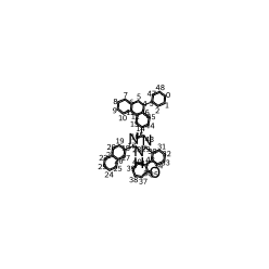 c1ccc(-c2cc3ccccc3c3cc(C4=NC(c5ccc6ccccc6c5)NC(c5cccc6oc7ccccc7c56)=N4)ccc23)cc1